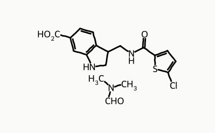 CN(C)C=O.O=C(O)c1ccc2c(c1)NCC2CNC(=O)c1ccc(Cl)s1